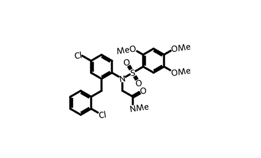 CNC(=O)CN(c1ccc(Cl)cc1Cc1ccccc1Cl)S(=O)(=O)c1cc(OC)c(OC)cc1OC